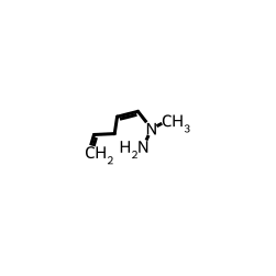 C=CC/C=C\N(C)N